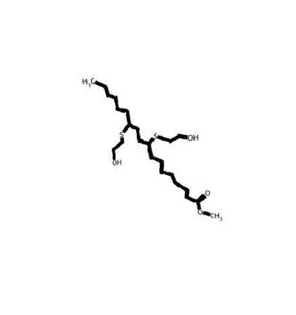 CCCCCCC(CCC(CCCCCCCC(=O)OC)SCCO)SCCO